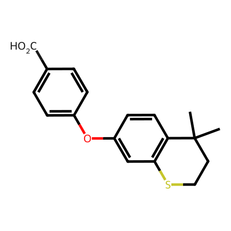 CC1(C)CCSc2cc(Oc3ccc(C(=O)O)cc3)ccc21